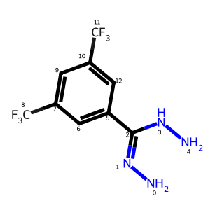 N/N=C(\NN)c1cc(C(F)(F)F)cc(C(F)(F)F)c1